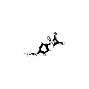 CSc1ccc([N+]2([O-])C=C(Cl)C2Br)cc1